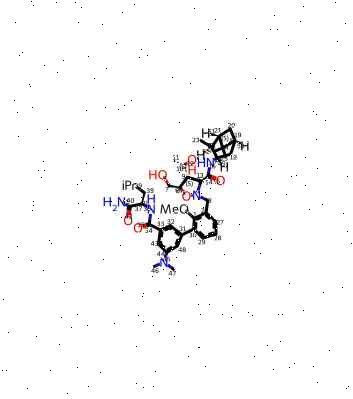 COc1c(CN2O[C@@H](CO)[C@H]([C@H](C)O)[C@H]2C(=O)N[C@H]2C[C@H]3C[C@@H]([C@@H]2C)C3(C)C)cccc1-c1cc(C(=O)N[C@H](CC(C)C)C(N)=O)cc(N(C)C)c1